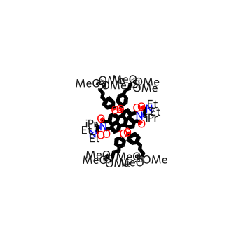 CCN(CC)C(=O)C(C(C)C)N1C(=O)c2cc(Oc3ccc(CCC[Si](OC)(OC)OC)cc3)c3c4c(Oc5ccc(CCC[Si](OC)(OC)OC)cc5)cc5c6c(cc(Oc7ccc(CCC[Si](OC)(OC)OC)cc7)c(c7c(Oc8ccc(CCC[Si](OC)(OC)OC)cc8)cc(c2c37)C1=O)c64)C(=O)N(C(C(=O)N(CC)CC)C(C)C)C5=O